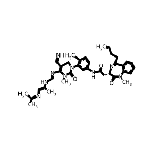 C=CCCC1=N[C@@H](CC(=O)Nc2ccc(C)c(N3CC(C=N)=C(/N=C/N/C(C)=C/N=C(C)C)N(C)C3=O)c2)C(=O)N(C)c2ccccc21